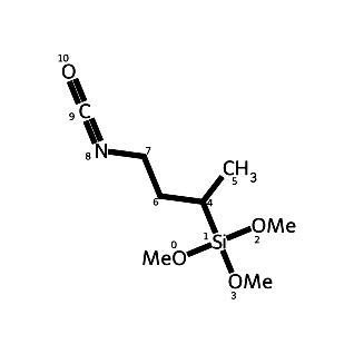 CO[Si](OC)(OC)C(C)CCN=C=O